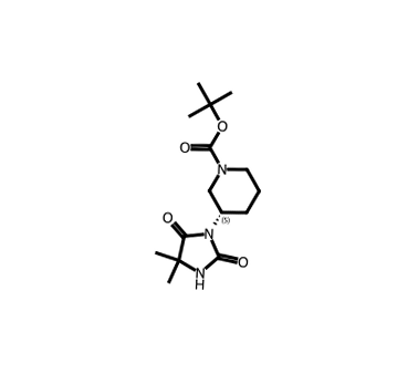 CC(C)(C)OC(=O)N1CCC[C@H](N2C(=O)NC(C)(C)C2=O)C1